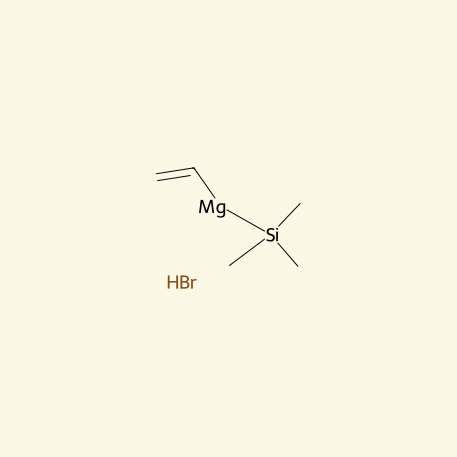 Br.C=[CH][Mg][Si](C)(C)C